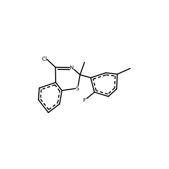 Cc1ccc(F)c(C2(C)N=C(Cl)c3ccccc3S2)c1